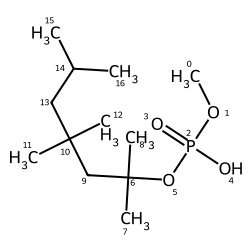 COP(=O)(O)OC(C)(C)CC(C)(C)CC(C)C